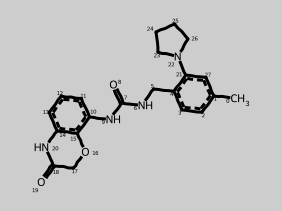 Cc1ccc(CNC(=O)Nc2cccc3c2OCC(=O)N3)c(N2CCCC2)c1